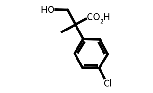 CC(CO)(C(=O)O)c1ccc(Cl)cc1